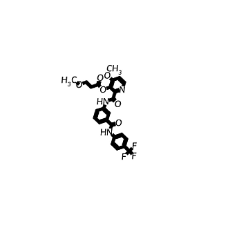 COCCC(=O)Oc1c(OC)ccnc1C(=O)Nc1cccc(C(=O)Nc2ccc(C(F)(F)F)cc2)c1